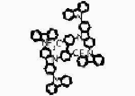 FC(F)(F)c1ccc(-n2c3cc(-n4c5ccccc5c5ccccc54)ccc3c3ccc(-n4c5ccccc5c5ccccc54)cc32)cc1-c1cc(-n2c3cc(-n4c5ccccc5c5ccccc54)ccc3c3ccc(-n4c5ccccc5c5ccccc54)cc32)ccc1C(F)(F)F